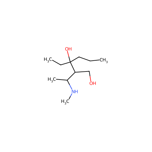 CCCC(O)(CC)C(CO)C(C)NC